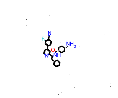 N#Cc1ccc(-c2ccnc(C(Cc3ccccc3)NC(=O)[C@H]3CC[C@H](CN)CC3)c2)cc1F